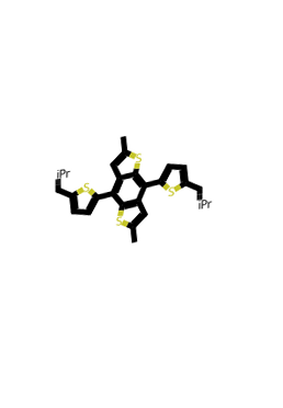 Cc1cc2c(-c3ccc(CC(C)C)s3)c3sc(C)cc3c(-c3ccc(CC(C)C)s3)c2s1